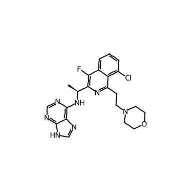 C[C@H](Nc1ncnc2[nH]cnc12)c1nc(CCN2CCOCC2)c2c(Cl)cccc2c1F